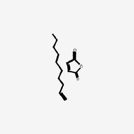 C=CCCCCCCCC.O=C1C=CC(=O)O1